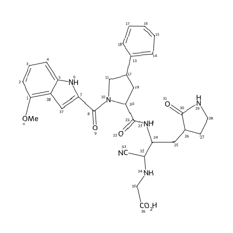 COc1cccc2[nH]c(C(=O)N3CC(c4ccccc4)CC3C(=O)NC(CC3CCNC3=O)C(C#N)NCC(=O)O)cc12